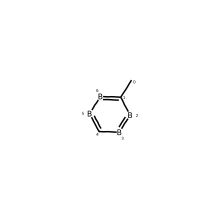 Cc1bbcbb1